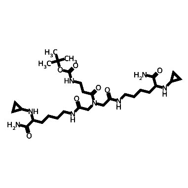 CC(C)(C)OC(=O)NCCC(=O)N(CC(=O)NCCCCC(NC1CC1)C(N)=O)CC(=O)NCCCCC(NC1CC1)C(N)=O